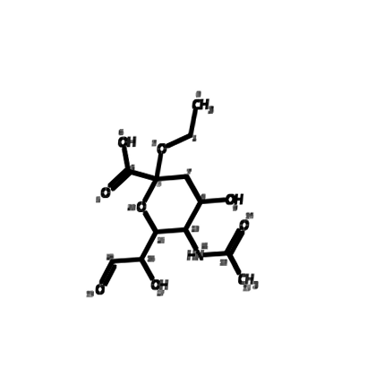 CCOC1(C(=O)O)CC(O)C(NC(C)=O)C(C(O)C=O)O1